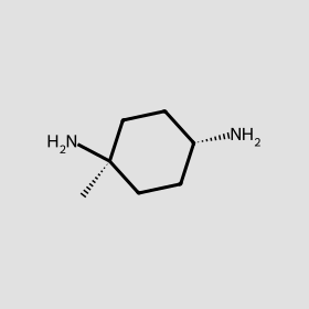 C[C@]1(N)CC[C@H](N)CC1